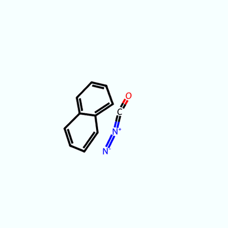 [N-]=[N+]=C=O.c1ccc2ccccc2c1